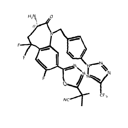 CC(C)(C#N)c1nnc(-c2cc3c(cc2F)C(F)(F)C[C@H](N)C(=O)N3Cc2ccc(-n3nnc(C(F)(F)F)n3)cc2)o1